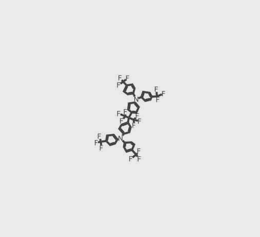 FC(F)(F)c1ccc(N(c2ccc(C(F)(F)F)cc2)c2ccc(C(c3ccc(N(c4ccc(C(F)(F)F)cc4)c4ccc(C(F)(F)F)cc4)cc3)(C(F)(F)F)C(F)(F)F)cc2)cc1